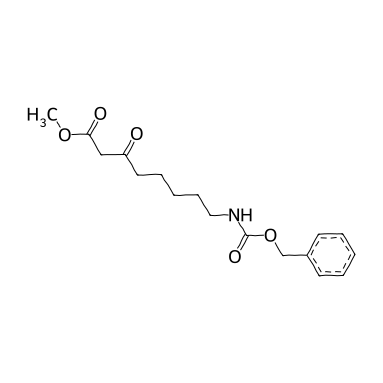 COC(=O)CC(=O)CCCCCNC(=O)OCc1ccccc1